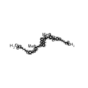 C=CC(=O)OCCCCCCOc1ccc(COOc2ccc(/C=C/COOc3cccc4c3C3(CC4)CCc4cccc(OC(=O)/C=C/c5ccc(OC(=O)c6ccc(OCCCCCCOC(=O)C=C)cc6)cc5OC)c43)c(OC)c2)cc1